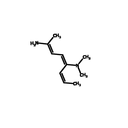 C\C=C/C(=C\C=C(/C)N)N(C)C